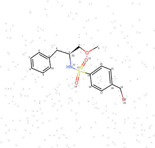 COC[C@H](Cc1ccccc1)NS(=O)(=O)c1ccc(CBr)cc1